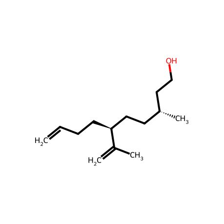 C=CCC[C@@H](CC[C@@H](C)CCO)C(=C)C